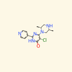 C[C@H]1CN(c2nc(-c3ccncc3)[nH]c(=O)c2Cl)[C@@H](C)CN1